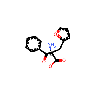 N[C@@](Cc1ccco1)(C(=O)O)C(=O)c1ccccc1